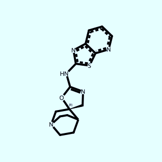 c1cnc2sc(NC3=NC[C@@]4(CN5CCC4CC5)O3)nc2c1